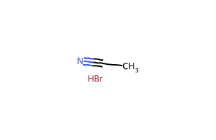 Br.CC#N